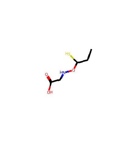 CCC(S)ONCC(=O)O